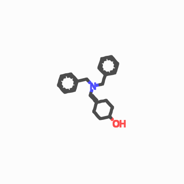 OC1CCC(=CN(Cc2ccccc2)Cc2ccccc2)CC1